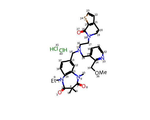 CCN1C(=O)C(C)(C)C(=O)N(C)c2cc(CN(CCn3ccc4ccsc4c3=O)Cc3cccnc3COC)ccc21.Cl.Cl